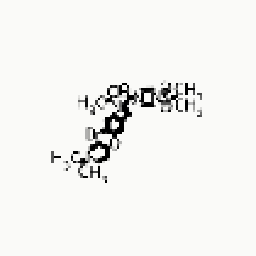 CC(C)N1CCC(Oc2cc3cc(C(=O)N4CCN(S(=O)(=O)C(C)C)CC4)n(C(C)C)c3cc2Br)CC1